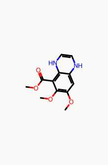 COC(=O)c1c2c(cc(OC)c1OC)NC=CN2